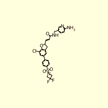 Nc1ccc(CNC(=O)C=CC2Cc3cc(-c4ccc(S(=O)(=O)N5CC(F)(F)C5)cc4)cc(Cl)c3O2)cn1